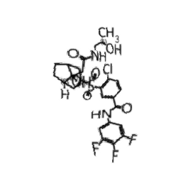 C[C@H](O)CNC(=O)C[C@@]1(O)C2CC[C@H]1C[C@H](S(=O)(=O)c1cc(C(=O)Nc3cc(F)c(F)c(F)c3)ccc1Cl)C2